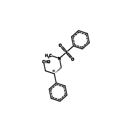 CN(C[C@@H](CC=O)c1ccccc1)S(=O)(=O)c1ccccc1